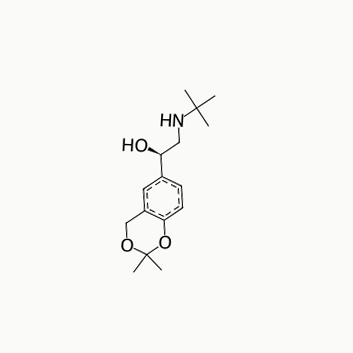 CC(C)(C)NC[C@H](O)c1ccc2c(c1)COC(C)(C)O2